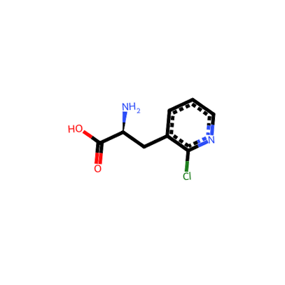 N[C@@H](Cc1cccnc1Cl)C(=O)O